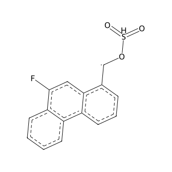 O=[SH](=O)O[CH]c1cccc2c1cc(F)c1ccccc12